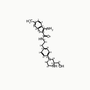 Cc1ccc2c(N)c(C(=O)NCCc3ccc(N4CCNC(CO)C4)cc3)sc2n1